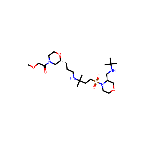 COCC(=O)N1CCO[C@H](CCCNC(C)(C)CCS(=O)(=O)N2CCOC[C@@H]2CNC(C)(C)C)C1